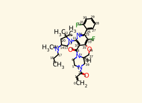 C=CC(=O)N1CCN2C(=O)c3c(N4CC(N(C)CCC)CC4(C)C)nc(-c4ccccc4F)c(F)c3OC[C@H]2C1